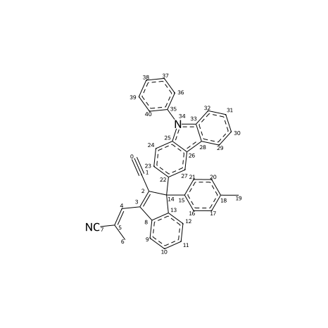 C#CC1=C(/C=C(\C)C#N)c2ccccc2C1(c1ccc(C)cc1)c1ccc2c(c1)c1ccccc1n2-c1ccccc1